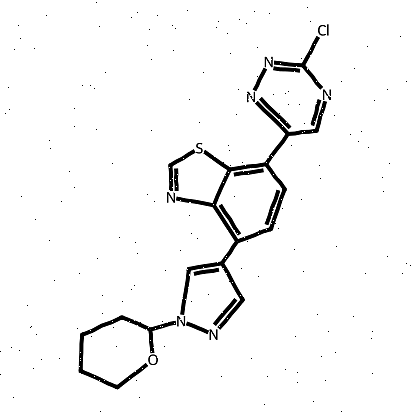 Clc1ncc(-c2ccc(-c3cnn(C4CCCCO4)c3)c3ncsc23)nn1